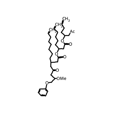 C=CCCCCCCC(CC(=O)CC(COc1ccccc1)OC)CC(=O)OC(CCCCC=C)CC(=O)OC(CCC=C)CC(C)=O